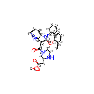 COC(=O)CC1CN(C(=O)c2c(Oc3c(C)cccc3C)n(C3=CC=CCC3)c3cccnc23)CCN1